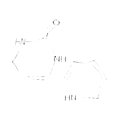 C1=CCNC=C1.O=C1NC=CCN1